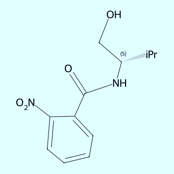 CC(C)[C@@H](CO)NC(=O)c1ccccc1[N+](=O)[O-]